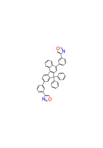 c1ccc(C2(c3ccccc3)c3cc(-c4cccc(-c5cocn5)c4)ccc3-c3c2cc(-c2cccc(-c4cocn4)c2)c2ccccc32)cc1